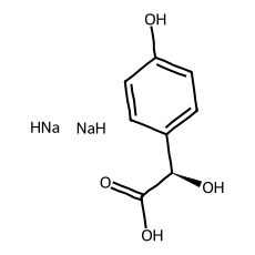 O=C(O)[C@H](O)c1ccc(O)cc1.[NaH].[NaH]